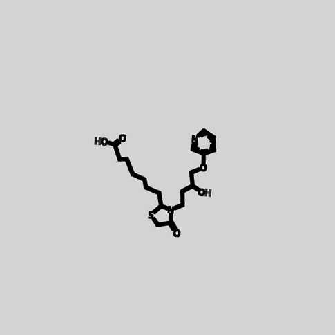 O=C(O)CCCCCCC1SCC(=O)N1CCC(O)COc1cccnc1